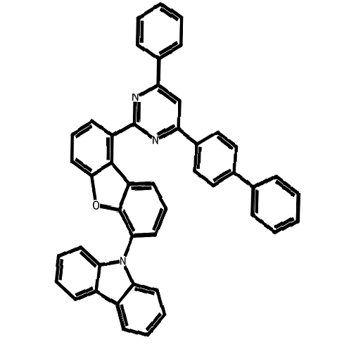 c1ccc(-c2ccc(-c3cc(-c4ccccc4)nc(-c4cccc5oc6c(-n7c8ccccc8c8ccccc87)cccc6c45)n3)cc2)cc1